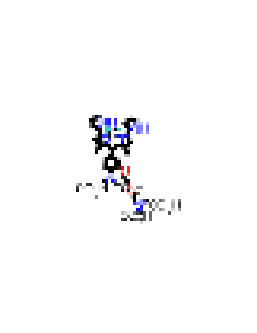 CC1=CC(c2ccc[nH]2)=[N+]2C1=C(c1ccc(N(CC(=O)O)CC(=O)O)c(OCCOCCN(CC(=O)O)CC(=O)O)c1)c1c(C)cc(-c3ccc[nH]3)n1[B-]2(F)F